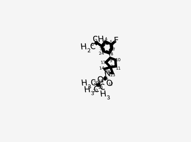 C=C(C)c1cc(F)cc([C@@H]2CCC3(C2)CN(C(=O)OC(C)(C)C)C3)c1